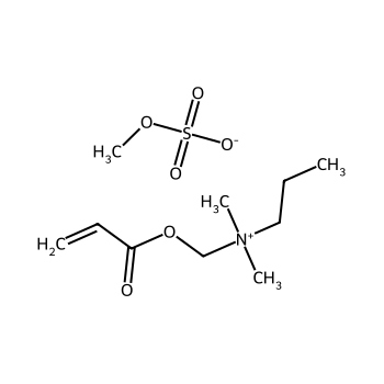 C=CC(=O)OC[N+](C)(C)CCC.COS(=O)(=O)[O-]